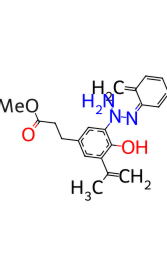 C=C1C=CC=C/C1=N/N(N)c1cc(CCC(=O)OC)cc(C(=C)C)c1O